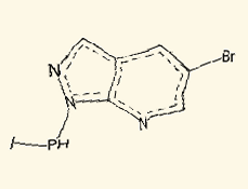 Brc1cnc2c(cnn2PI)c1